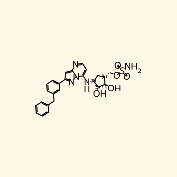 NS(=O)(=O)OC[C@H]1C[C@@H](Nc2ccnc3cc(-c4cccc(Cc5ccccc5)c4)nn23)[C@H](O)[C@@H]1O